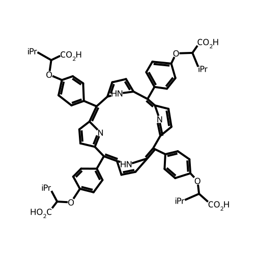 CC(C)C(Oc1ccc(-c2c3nc(c(-c4ccc(OC(C(=O)O)C(C)C)cc4)c4ccc([nH]4)c(-c4ccc(OC(C(=O)O)C(C)C)cc4)c4nc(c(-c5ccc(OC(C(=O)O)C(C)C)cc5)c5ccc2[nH]5)C=C4)C=C3)cc1)C(=O)O